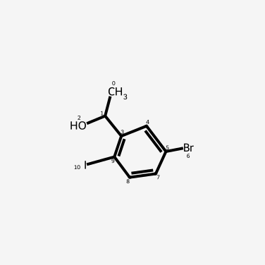 CC(O)c1cc(Br)ccc1I